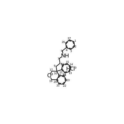 Cl.c1ccc(CNCCCC2(c3ccccc3)COCc3ccccc32)cc1